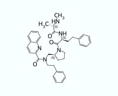 CN[C@@H](C)C(=O)N[C@@H](CCc1ccccc1)C(=O)N1CCC[C@H]1CN(CCc1ccccc1)C(=O)c1ccc2ccccc2n1